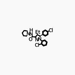 CC[C@H]1C(C(=O)NN2CCCCC2)=NN(c2ccccc2Cl)[C@@H]1c1ccc(Cl)cc1